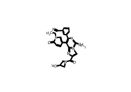 CCn1cc(-c2c(-c3cccc(C#N)c3)nc(N)n3cc(C(=O)N4CC(O)C4)nc23)ccc1=O